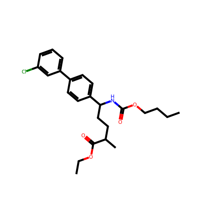 CCCCOC(=O)NC(CCC(C)C(=O)OCC)c1ccc(-c2cccc(Cl)c2)cc1